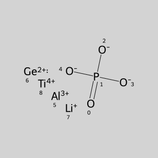 O=P([O-])([O-])[O-].[Al+3].[Ge+2].[Li+].[Ti+4]